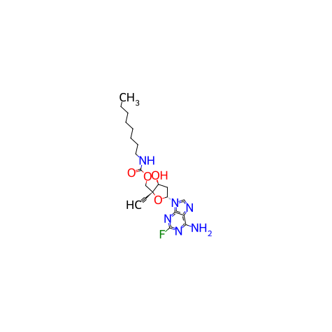 C#C[C@]1(COC(=O)NCCCCCCCC)O[C@@H](n2cnc3c(N)nc(F)nc32)C[C@@H]1O